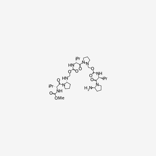 COC(=O)N[C@@H](C(=O)N1CCC[C@H]1NCOC(=O)N[C@@H](C(=O)N1CCCN1COC(=O)N[C@H](C(=O)N1CCC[C@H]1N)C(C)C)C(C)C)C(C)C